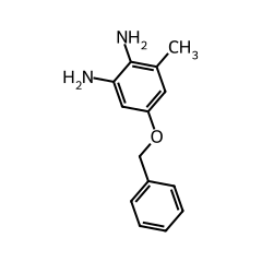 Cc1cc(OCc2ccccc2)cc(N)c1N